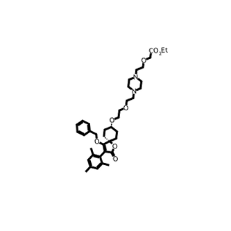 CCOC(=O)COCCN1CCN(CCOCCO[C@H]2CC[C@]3(CC2)OC(=O)C(c2c(C)cc(C)cc2C)=C3OCc2ccccc2)CC1